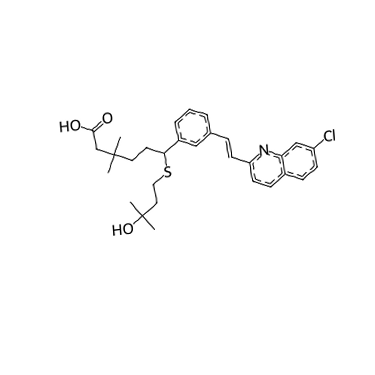 CC(C)(O)CCSC(CCC(C)(C)CC(=O)O)c1cccc(C=Cc2ccc3ccc(Cl)cc3n2)c1